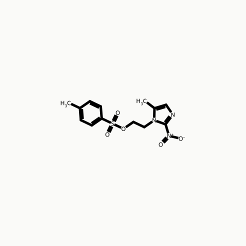 Cc1ccc(S(=O)(=O)OCCn2c(C)cnc2[N+](=O)[O-])cc1